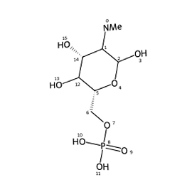 CNC1C(O)O[C@H](COP(=O)(O)O)C(O)[C@@H]1O